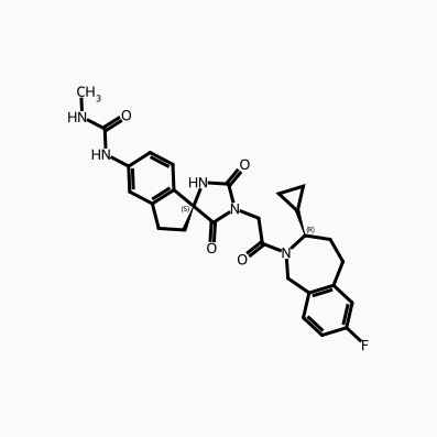 CNC(=O)Nc1ccc2c(c1)CC[C@]21NC(=O)N(CC(=O)N2Cc3ccc(F)cc3CC[C@@H]2C2CC2)C1=O